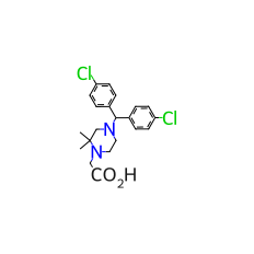 CC1(C)CN(C(c2ccc(Cl)cc2)c2ccc(Cl)cc2)CCN1CC(=O)O